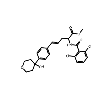 COC(=O)C(CC=Cc1ccc(C2(O)CCOCC2)cc1)NC(=O)c1c(Cl)cccc1Cl